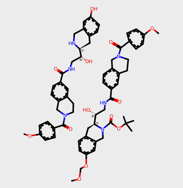 COCOc1ccc2c(c1)CN(C(=O)OC(C)(C)C)[C@H]([C@H](O)CNC(=O)c1ccc3c(c1)CCN(C(=O)c1ccc(OC)cc1)C3)C2.COc1ccc(C(=O)N2CCc3cc(C(=O)NC[C@@H](O)[C@@H]4Cc5ccc(O)cc5CN4)ccc3C2)cc1